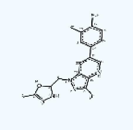 CC1=NNC(Cn2nc(F)c3ncc(-c4ccc(F)c(C)c4)cc32)O1